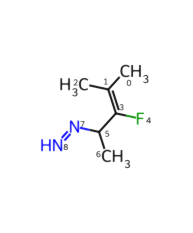 CC(C)=C(F)C(C)N=N